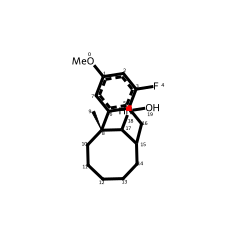 COc1cc(F)c2c(c1)[C@@]1(C)CCCCCC(C2)C1NO